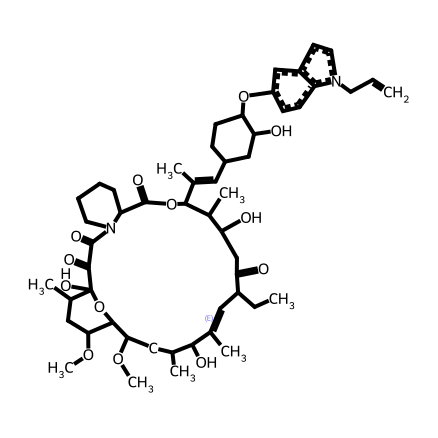 C=CCn1ccc2cc(OC3CCC(C=C(C)C4OC(=O)C5CCCCN5C(=O)C(=O)C5(O)OC(C(OC)CC(C)C(O)/C(C)=C/C(CC)C(=O)CC(O)C4C)C(OC)CC5C)CC3O)ccc21